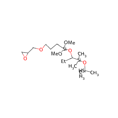 CCC(O[Si](CCCOCC1CO1)(OC)OC)[Si](C)(C)O[SiH](C)C